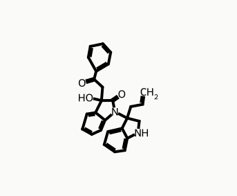 C=CCC1(N2C(=O)C(O)(CC(=O)c3ccccc3)c3ccccc32)CNc2ccccc21